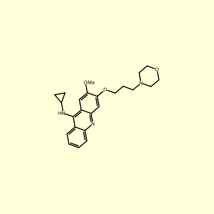 COc1cc2c(NC3CC3)c3ccccc3nc2cc1OCCCN1CCOCC1